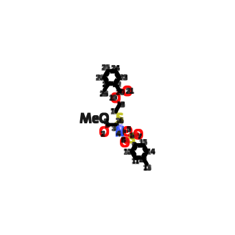 COC(=O)/C(=N/OS(=O)(=O)c1ccc(C)cc1)SCCOC(=O)c1ccccc1C